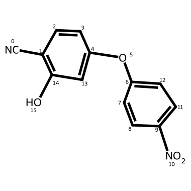 N#Cc1ccc(Oc2ccc([N+](=O)[O-])cc2)cc1O